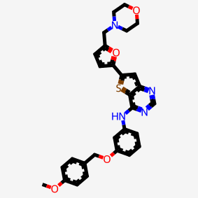 COc1ccc(COc2cccc(Nc3ncnc4cc(-c5ccc(CN6CCOCC6)o5)sc34)c2)cc1